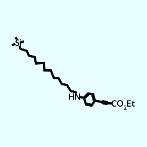 CCOC(=O)C#Cc1ccc(NCCCCCCCCCCCCCC[Si](C)(C)C)cc1